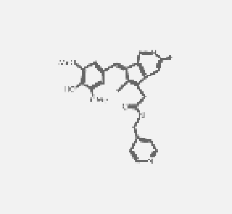 COc1cc(C=C2C(C)=C(CC(=O)NCc3ccncc3)c3cc(F)ncc32)cc(OC)c1O